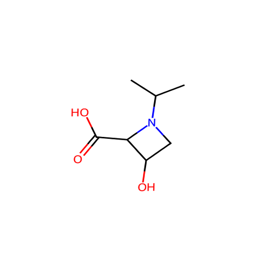 CC(C)N1CC(O)C1C(=O)O